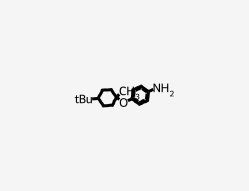 CC1(Oc2ccc(N)cc2)CCC(C(C)(C)C)CC1